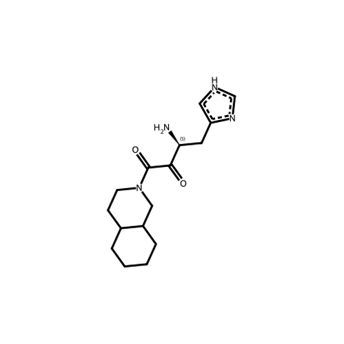 N[C@@H](Cc1c[nH]cn1)C(=O)C(=O)N1CCC2CCCCC2C1